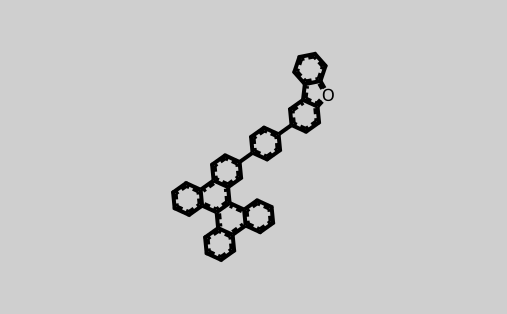 c1ccc2c(c1)oc1ccc(-c3ccc(-c4ccc5c6ccccc6c6c7ccccc7c7ccccc7c6c5c4)cc3)cc12